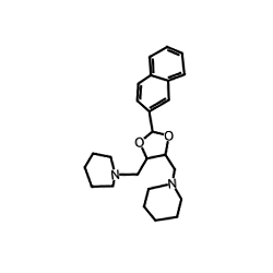 c1ccc2cc(C3OC(CN4CCCCC4)C(CN4CCCCC4)O3)ccc2c1